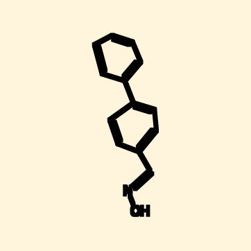 O/N=C/c1ccc(-c2ccccc2)cc1